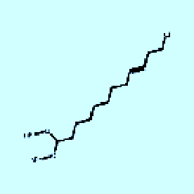 CCCOC(CCCCCCC/C=C/CCCl)OCCC